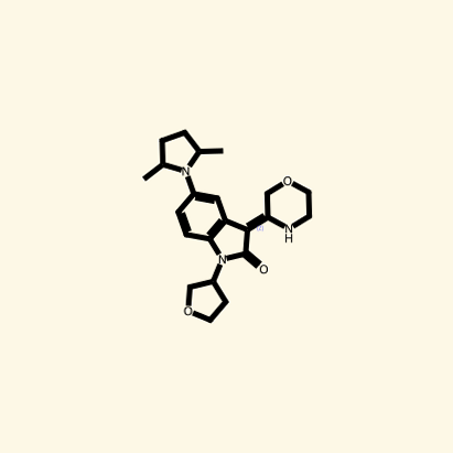 CC1CCC(C)N1c1ccc2c(c1)/C(=C1\COCCN1)C(=O)N2C1CCOC1